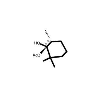 CC(=O)O[C@@]1(O)[C@H](C)CCCC1(C)C